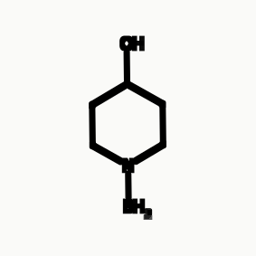 BN1CCC(O)CC1